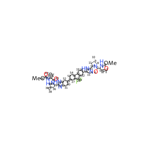 COC(=O)N[C@H](C(=O)N1C[C@@H](C)CC1c1ncc(-c2ccc3c(c2)C(F)(F)c2cc(-c4ccc5nc([C@@H]6CC7(CC7)CN6C(=O)[C@@H](NC(=O)OC)C(C)C)[nH]c5c4)ccc2-3)[nH]1)C(C)C